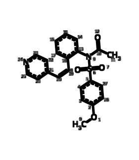 COc1ccc(S(=O)(=O)N(C(C)=O)c2ccccc2/C=C\c2ccncc2)cc1